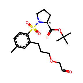 Cc1ccc(S(=O)(=O)N2CCC[C@H]2C(=O)OC(C)(C)C)c(CCCOCC=O)c1